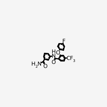 NC(=O)c1cccc(NC(=O)c2ccc(C(F)(F)F)cc2Oc2ccc(F)cc2)c1